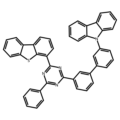 c1ccc(-c2nc(-c3cccc(-c4cccc(-n5c6ccccc6c6ccccc65)c4)c3)nc(-c3cccc4c3sc3ccccc34)n2)cc1